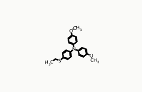 CCSc1ccc(N(c2ccc(OC)cc2)c2ccc(OC)cc2)cc1